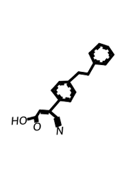 N#CC(=CC(=O)O)c1ccc(CCc2ccccc2)cc1